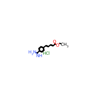 CCOC(=O)C=CC=Cc1ccc(C(=N)N)cc1.Cl